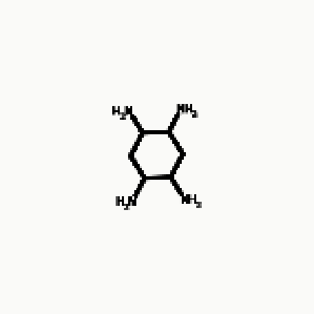 NC1CC(N)C(N)CC1N